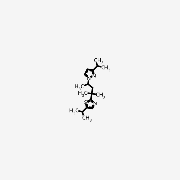 CC(C)c1ccn(C(C)CC(C)(C)c2ncc(C(C)C)s2)n1